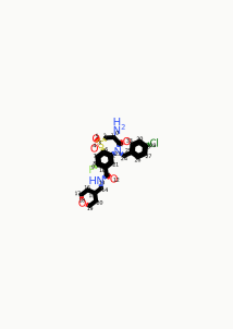 N[C@H]1CS(=O)(=O)c2cc(F)c(C(=O)NCC3CCOCC3)cc2N(Cc2ccc(Cl)cc2)C1=O